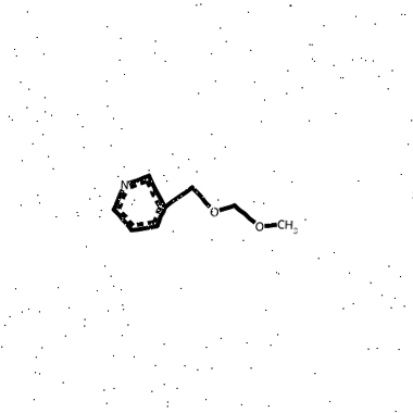 COCOCc1cccnc1